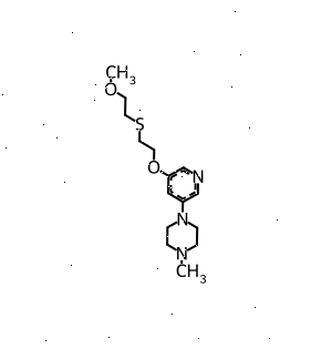 COCCSCCOc1cncc(N2CCN(C)CC2)c1